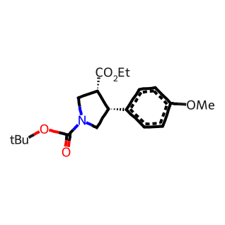 CCOC(=O)[C@H]1CN(C(=O)OC(C)(C)C)C[C@H]1c1ccc(OC)cc1